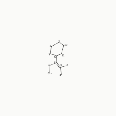 [CH2]CC(=C(C)C)C1CCCCC1